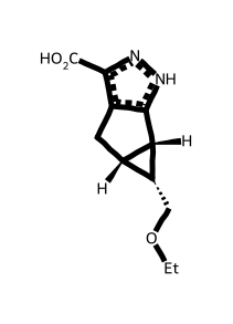 CCOC[C@@H]1[C@@H]2Cc3c(C(=O)O)n[nH]c3[C@H]12